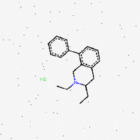 CCC1Cc2cccc(-c3ccccc3)c2CN1CC.Cl